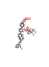 C=C(C)C(=O)OCc1cc(-c2ccc3cc(CCCCC)ccc3c2)ccc1-c1ccc(OCCO)cc1